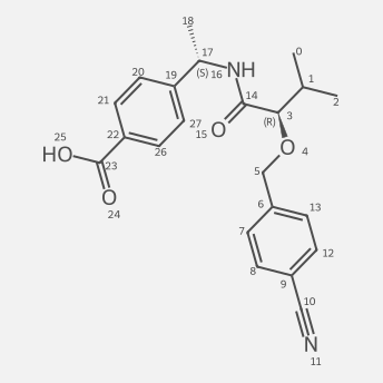 CC(C)[C@@H](OCc1ccc(C#N)cc1)C(=O)N[C@@H](C)c1ccc(C(=O)O)cc1